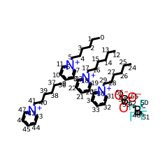 CCCCCC[n+]1ccccc1.CCCCCC[n+]1ccccc1.CCCCCC[n+]1ccccc1.CCCCCC[n+]1ccccc1.F[B-](F)(F)F.[O-]B([O-])[O-]